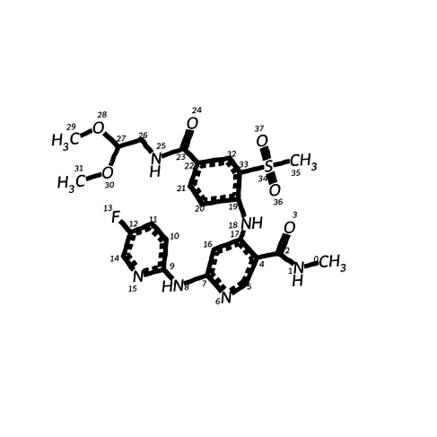 CNC(=O)c1cnc(Nc2ccc(F)cn2)cc1Nc1ccc(C(=O)NCC(OC)OC)cc1S(C)(=O)=O